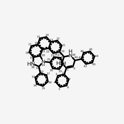 C1=C(c2ccccc2)NC(c2ccc3ccc4ccc5c(c4c3c2)N(c2ccccc2)C(c2ccccc2)N5)NC1c1ccccc1